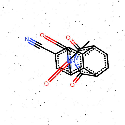 N#Cc1cc2c(=O)[nH]c(=O)c1c1c3ccc(c(=O)[nH]c3=O)c21